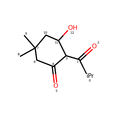 CC(C)C(=O)C1C(=O)CC(C)(C)CC1O